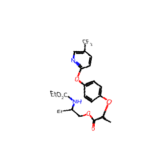 CCOC(=O)NC(CC)COC(=O)C(C)Oc1ccc(Oc2ccc(C(F)(F)F)cn2)cc1